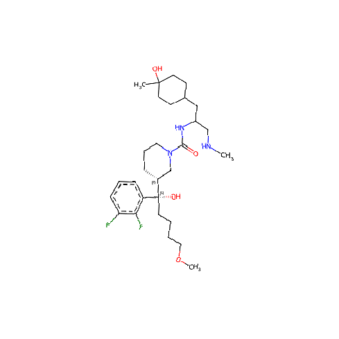 CNCC(CC1CCC(C)(O)CC1)NC(=O)N1CCC[C@@H]([C@@](O)(CCCCOC)c2cccc(F)c2F)C1